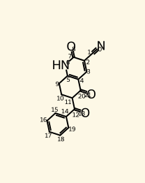 N#Cc1cc2c([nH]c1=O)CCC(C(=O)c1ccccc1)C2=O